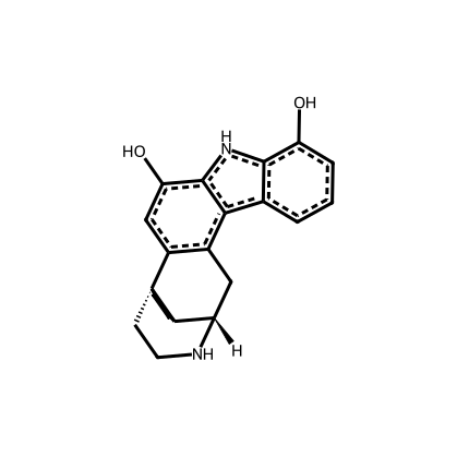 Oc1cccc2c1[nH]c1c(O)cc3c(c12)C[C@@H]1NCC[C@]32CCCCC12